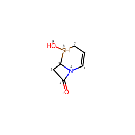 O=C1CC2N1C=CC[SH]2O